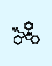 PCCC(C[C]1CCCCC1)(Pc1ccccc1)C1CCCCC1